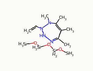 C=Cn1[nH]nc(C)c(C)c(C)n1C.[SiH3]O[SiH2]O[SiH2]O[SiH3]